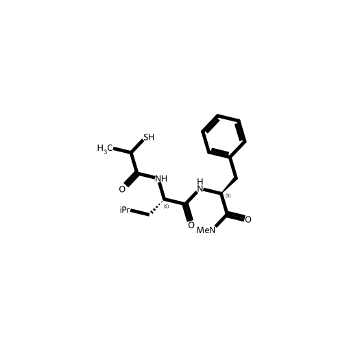 CNC(=O)[C@H](Cc1ccccc1)NC(=O)[C@H](CC(C)C)NC(=O)C(C)S